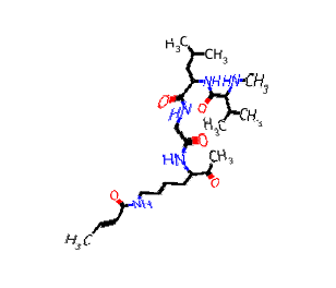 C/C=C/C(=O)NCCCCC(NC(=O)CNC(=O)C(CC(C)C)NC(=O)C(NC)C(C)C)C(C)=O